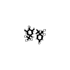 CC(C)(C)C1(C(Cl)(Cl)Cl)C=CC(=O)C=C1.CC1=CC(C)(C(Cl)(Cl)Cl)C=C(C)C1=O